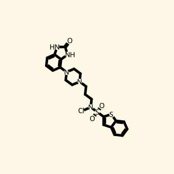 O=c1[nH]c2cccc(N3CCN(CCCN(Cl)S(=O)(=O)c4cc5ccccc5s4)CC3)c2[nH]1